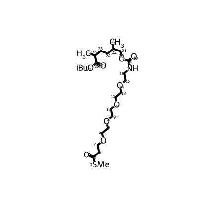 CSC(=O)CCOCCOCCOCCOCCNC(=O)OCC(C)CCC(C)C(=O)OCC(C)C